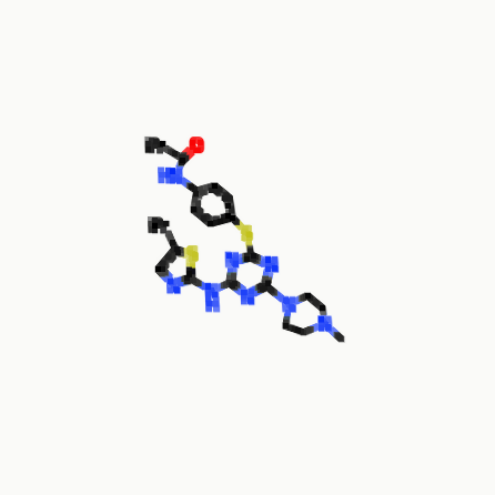 CC(C)C(=O)Nc1ccc(Sc2nc(Nc3ncc(C(C)C)s3)nc(N3CCN(C)CC3)n2)cc1